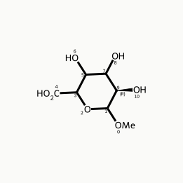 COC1OC(C(=O)O)C(O)C(O)[C@H]1O